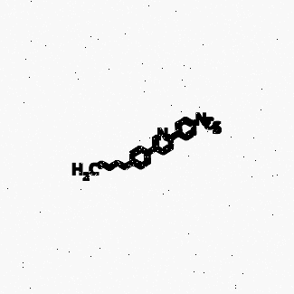 C=CCCCc1ccc(-c2ccc(-c3ccc(N=C=S)cc3)nc2)cc1